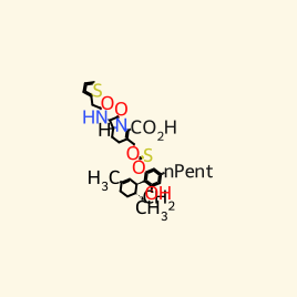 C=C(C)[C@@H]1CCC(C)=C[C@H]1c1c(O)cc(CCCCC)cc1OC(=S)OCC1=C(C(=O)O)N2C(=O)[C@@H](NC(=O)Cc3cccs3)[C@H]2CC1